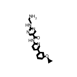 NCCNc1ncc(C(=O)Nc2ccc(-c3cccc(OC4CC4)c3)cn2)cn1